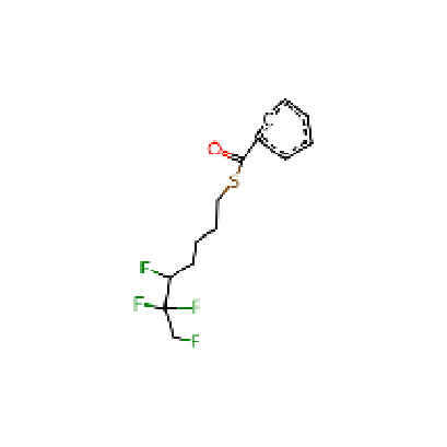 O=C(SCCCCC(F)C(F)(F)CF)c1ccccc1